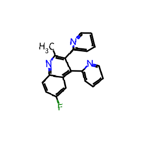 Cc1nc2ccc(F)cc2c(-c2ccccn2)c1-c1ccccn1